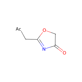 CC(=O)CC1=NC(=O)CO1